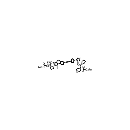 COC(=O)N[C@H](C(=O)N1CCC[C@H]1c1nc2c([nH]1)-c1ccc(C#Cc3ccc(-c4cnc([C@@H]5CCCN5C(=O)[C@@H](NC(=O)OC)C5CCOCC5)[nH]4)cc3)cc1CC2)C(C)C